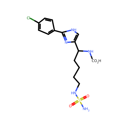 NS(=O)(=O)NCCCCC(NC(=O)O)c1c[nH]c(-c2ccc(Cl)cc2)n1